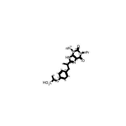 CCCn1c(=O)c2nc(C(C)Cc3ccc(SC(C)C(=O)O)cc3)[nH]c2n(CCC)c1=O